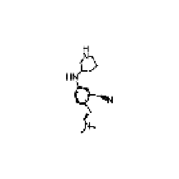 CN(C)/C=N/c1ccc(NC2CCCNC2)cc1C#N